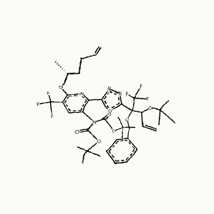 C=CCC[C@@H](C)Oc1nc(-c2nnc(C(OCc3ccccc3)(C(C=C)OC(C)(C)C)C(F)(F)F)o2)c(N(C(=O)OC(C)(C)C)C(=O)OC(C)(C)C)cc1C(F)(F)F